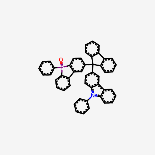 O=P1(c2ccccc2)c2ccccc2-c2cc(C3(c4ccc5c(c4)c4ccccc4n5-c4ccccc4)c4ccccc4-c4ccccc43)ccc21